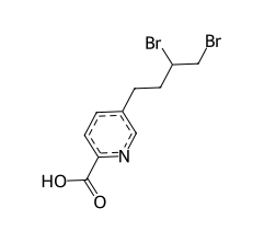 O=C(O)c1ccc(CCC(Br)CBr)cn1